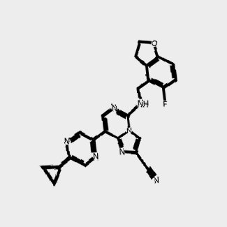 N#Cc1cn2c(NCc3c(F)ccc4c3CCO4)ncc(-c3cnc(C4CC4)cn3)c2n1